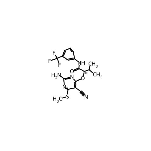 CSc1nc(N)nc(O[C@@H](C(=O)Nc2cccc(C(F)(F)F)c2)C(C)C)c1C#N